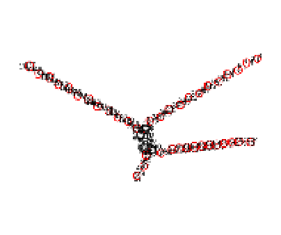 COCCOCCOCCOCCOCCOCCOCCOCCOCCOCCOCCOc1cc(CC2(Cc3cc(OCCOCCOC)cc(OCCOCOCOCOCOCOCOCOCOCOCCOC)c3)c3cc(C)ccc3-c3ccc(C)cc32)cc(OCCOCCOCCOCCOCCOCCOCCOCCOCCOCCOCCOC)c1